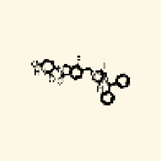 O=C1CCC(N2Cc3c(ccc(CN4C[C@@H]5C[C@H]4CN5C(c4ccccc4)c4ccccc4)c3F)C2=O)C(=O)N1